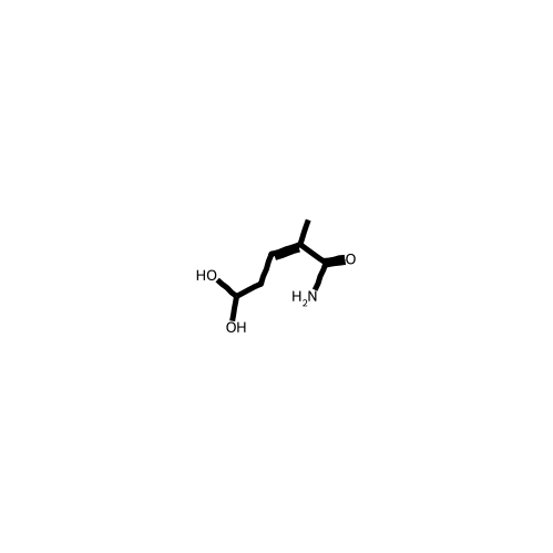 CC(=CCC(O)O)C(N)=O